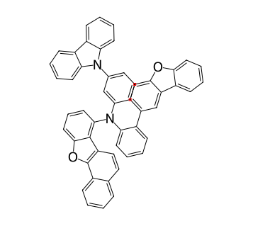 c1cc(N(c2ccccc2-c2ccc3oc4ccccc4c3c2)c2cccc3oc4c5ccccc5ccc4c23)cc(-n2c3ccccc3c3ccccc32)c1